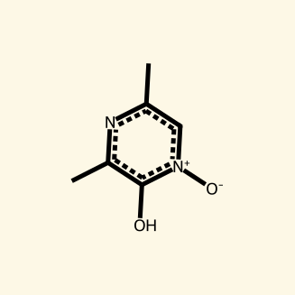 Cc1c[n+]([O-])c(O)c(C)n1